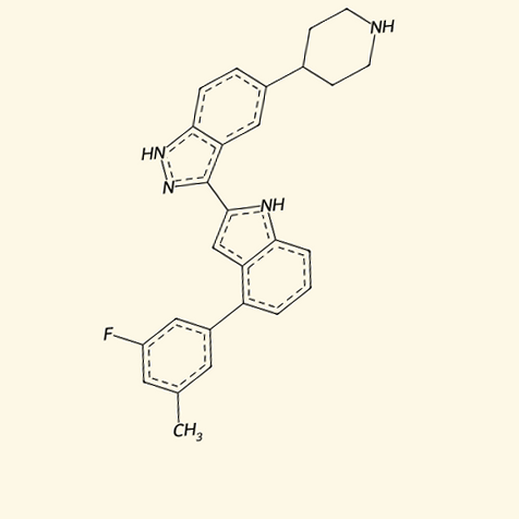 Cc1cc(F)cc(-c2cccc3[nH]c(-c4n[nH]c5ccc(C6CCNCC6)cc45)cc23)c1